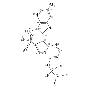 CCS(=O)(=O)c1nn2c(OC(F)(F)C(F)F)ccnc2c1-c1nc2cc(C(F)(F)F)cnc2n1C